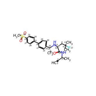 C#CC(C)NC(=O)[C@H](CC(C)(C)F)N[C@@H](c1ccc(-c2ccc(S(C)(=O)=O)cc2)cc1)C(F)(F)F